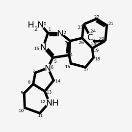 Nc1nc2c(c(N3CC4CCCNC4C3)n1)CCCC1C3C=CC(CC3)C21